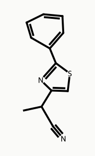 CC(C#N)c1csc(-c2ccccc2)n1